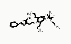 CCCc1cc(OC(C)(C)C(=O)OCC)cc(CCC)c1OCCc1nc(C2CCCCC2)oc1C